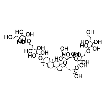 CC(C)(O)C1CC[C@H]([C@H]2CC[C@@]3(C)C4CC=C5C(CC[C@H](OC(O)/C(O)=C(\O)C(O)CCOC(O)/C(O)=C(/O)C(O)CCO)C5(C)C)[C@]4(C)CC[C@]23C)O/C(C(O)CCO)=C(/O)C(O)O/C(=C(/O)C(O)CCOC(O)/C(O)=C(/O)C(O)CCO)C(O)O1